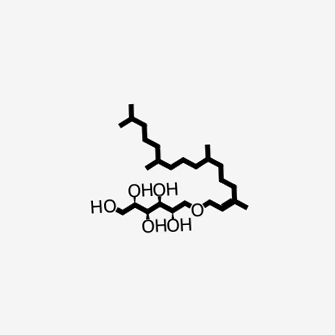 CC(=CCOC[C@H](O)[C@H](O)[C@@H](O)[C@@H](O)CO)CCCC(C)CCCC(C)CCCC(C)C